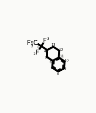 FC(F)(F)C(F)(F)C1[CH]c2ccccc2CC1